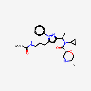 COC(=O)NCCCc1cc([C@@H](C)N(C(=O)[C@H]2CN[C@@H](C)CO2)C2CC2)nn1-c1ccccc1